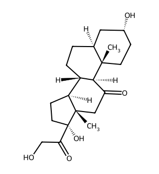 C[C@]12CC[C@@H](O)C[C@@H]1CC[C@@H]1[C@@H]2C(=O)C[C@@]2(C)[C@H]1CC[C@]2(O)C(=O)CO